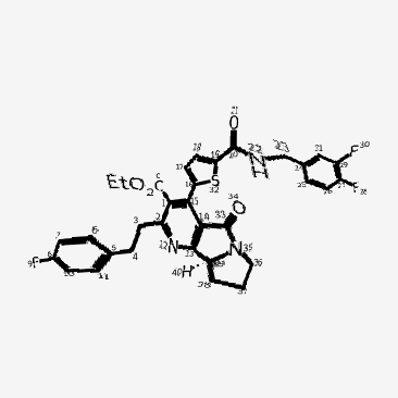 CCOC(=O)c1c(CCc2ccc(F)cc2)nc2c(c1-c1ccc(C(=O)NCc3ccc(F)c(F)c3)s1)C(=O)N1CCC[C@@H]21